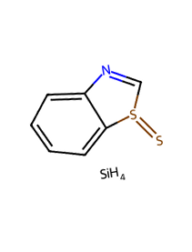 S=S1C=Nc2ccccc21.[SiH4]